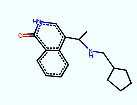 CC(NCC1CCCC1)c1c[nH]c(=O)c2ccccc12